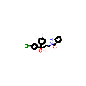 O=C(NCCCC(O)(c1ccc(Cl)cc1)c1ccc(I)cc1)c1ccccc1